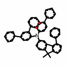 CC1(C)c2ccc(N(c3ccc(-c4ccccc4)cc3)c3ccc(-c4ccccc4)cc3-c3ccccc3)cc2-c2c(-c3ccccc3)cccc21